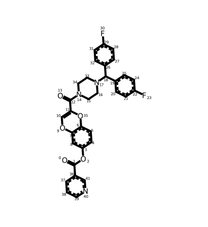 O=C(Oc1ccc2c(c1)OC=C(C(=O)N1CCN(C(c3ccc(F)cc3)c3ccc(F)cc3)CC1)O2)c1cccnc1